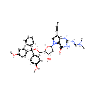 CC#Cc1cn([C@H]2C[C@H](O)[C@@H](COC(c3ccccc3)(c3ccc(OC)cc3)c3ccc(OC)cc3)O2)c2c(=O)[nH]c(/N=C/N(C)C)nc12